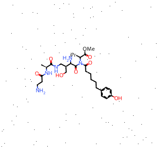 COC(=O)C(C(C)C)N(C(=O)CCCCCc1ccc(O)cc1)C(=O)C(N)C(CO)CNC(=O)[C@H](C)NC(=O)CCN